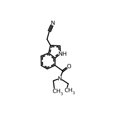 CCN(CC)C(=O)c1cccc2c(CC#N)c[nH]c12